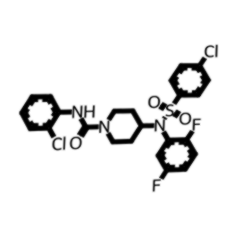 O=C(Nc1ccccc1Cl)N1CCC(N(c2cc(F)ccc2F)S(=O)(=O)c2ccc(Cl)cc2)CC1